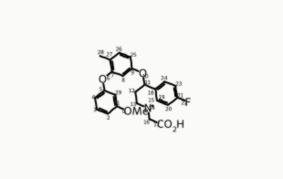 COc1cccc(Oc2cc(OC(CCN(C)CC(=O)O)c3ccc(F)cc3)ccc2C)c1